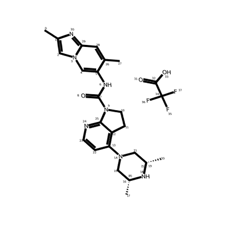 Cc1cn2cc(NC(=O)N3CCc4c(N5C[C@@H](C)N[C@@H](C)C5)ccnc43)c(C)cc2n1.O=C(O)C(F)(F)F